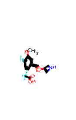 COc1cc(COC2CNC2)ccc1F.O=C(O)C(F)(F)F